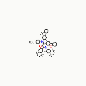 Cc1cc2c(cc1N1c3c(oc4cc5c(cc34)C(C)(C)CCC5(C)C)B3c4c(cc5c(oc6ccccc65)c41)-c1cc4c(cc1N3c1ccc(C(C)(C)C)cc1)C(C)(C)c1ccccc1-4)C(C)(C)CCC2(C)C